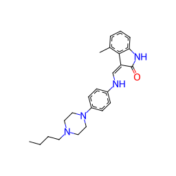 CCCCN1CCN(c2ccc(NC=C3C(=O)Nc4cccc(C)c43)cc2)CC1